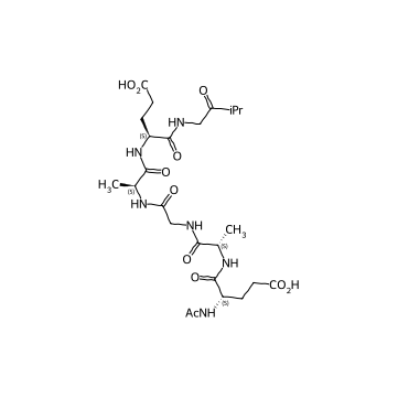 CC(=O)N[C@@H](CCC(=O)O)C(=O)N[C@@H](C)C(=O)NCC(=O)N[C@@H](C)C(=O)N[C@@H](CCC(=O)O)C(=O)NCC(=O)C(C)C